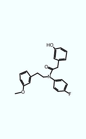 COc1cccc(CCN(C(=O)Cc2cccc(O)c2)c2ccc(F)cc2)c1